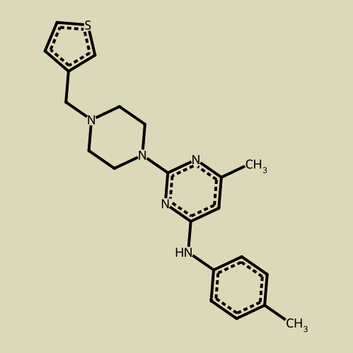 Cc1ccc(Nc2cc(C)nc(N3CCN(Cc4ccsc4)CC3)n2)cc1